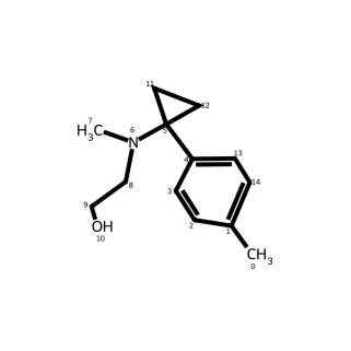 Cc1ccc(C2(N(C)CCO)CC2)cc1